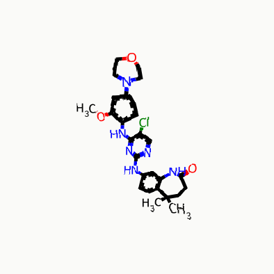 COc1cc(N2CCOCC2)ccc1Nc1nc(Nc2ccc3c(c2)NC(=O)CCC3(C)C)ncc1Cl